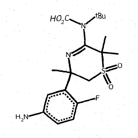 CC1(c2cc(N)ccc2F)CS(=O)(=O)C(C)(C)C(N(C(=O)O)C(C)(C)C)=N1